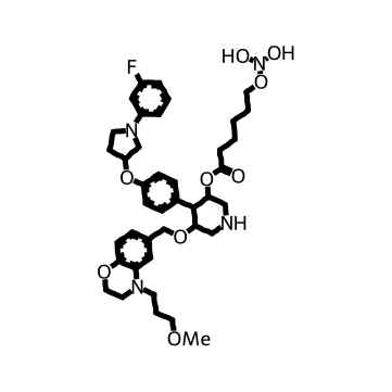 COCCCN1CCOc2ccc(COC3CNCC(OC(=O)CCCCCON(O)O)C3c3ccc(OC4CCN(c5cccc(F)c5)C4)cc3)cc21